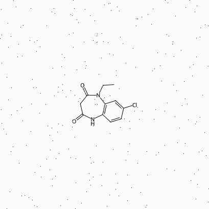 CCN1C(=O)CC(=O)Nc2ccc(Cl)cc21